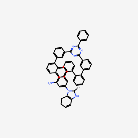 CCC1NC2=C(CCC=C2)N1c1cc(N)cc(-c2ccccc2-c2ccccc2-c2cccc(-c3nc(-c4ccccc4)nc(-c4cccc(-c5cccc6ccccc56)c4)n3)c2)c1